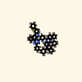 c1ccc(-c2cc(-c3ccc(-n4c5ccccc5c5c6sc7ccccc7c6ccc54)c(-c4nc(-c5ccccc5)nc(-c5cccc(-c6cccc(N7c8ccccc8B8c9ccccc9N(c9ccccc9)c9cccc7c98)c6)c5)n4)c3)nc(-c3ccccc3)n2)cc1